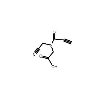 C#CC(=O)N(CC#N)CC(=O)O